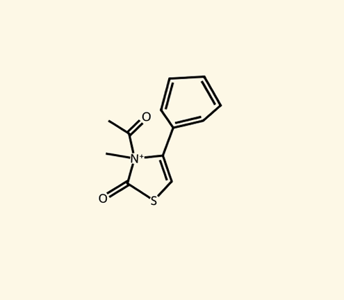 CC(=O)[N+]1(C)C(=O)SC=C1c1ccccc1